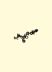 Cc1c(COc2cc(OCc3cncc(C#N)c3)c(CN3CCCCC3)cc2Cl)cccc1-c1ccc2oc(C3CC4CCC(C3)O4)nc2c1